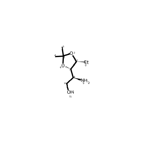 CC[C@H]1OC(C)(C)O[C@H]1[C@@H](N)CO